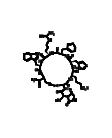 CCCC[C@@H](C(=O)N[C@H]1CSSC[C@@H](C(N)=O)NC(=O)[C@H](Cc2c[nH]c3ccccc23)NC(=O)[C@H](CCCNC(=N)N)NC(=O)[C@@H](Cc2ccccc2)NC(=O)[C@H](Cc2cnc[nH]2)NC(=O)[C@H](CCCC(=O)O)NC1=O)N1C(=O)CNC1=O